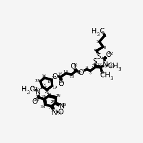 CCCCCSS/C(CCOC(=O)CCC(=O)O[C@H]1CC[C@H](N(C)C(=O)c2ccc3nonc3c2)CC1)=C(/C)N(C)C=O